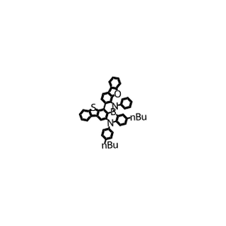 CCCCc1ccc(N2c3ccc(CCCC)cc3B3c4c2cc2c(sc5ccccc52)c4-c2ccc4c(oc5ccccc54)c2N3c2ccccc2)cc1